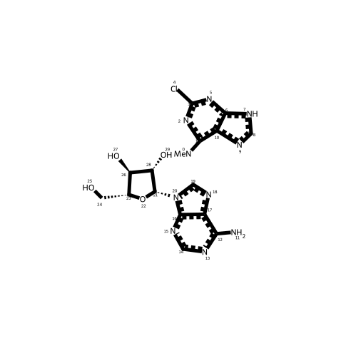 CNc1nc(Cl)nc2[nH]cnc12.Nc1ncnc2c1ncn2[C@@H]1O[C@H](CO)[C@@H](O)[C@@H]1O